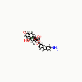 C[C@H](c1ccc(N)cc1)c1ccc([C@@H]2O[C@@H]3CC4[C@@H]5C[C@H](F)C6=CC(=O)C=C[C@]6(C)[C@@]5(F)[C@@H](O)C[C@]4(C)[C@]3(C(=O)CO)O2)cc1